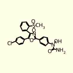 CS(=O)(=O)c1ccccc1-c1nc(-c2ccc(N(O)C(N)=O)cc2)oc1-c1ccc(Cl)cc1